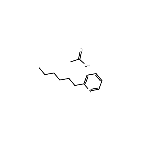 CC(=O)O.CCCCCCc1ccccn1